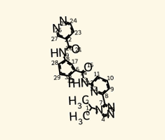 CC(C)n1cnnc1-c1cccc(NC(=O)c2cc(NC(=O)c3ccnnc3)ccc2F)n1